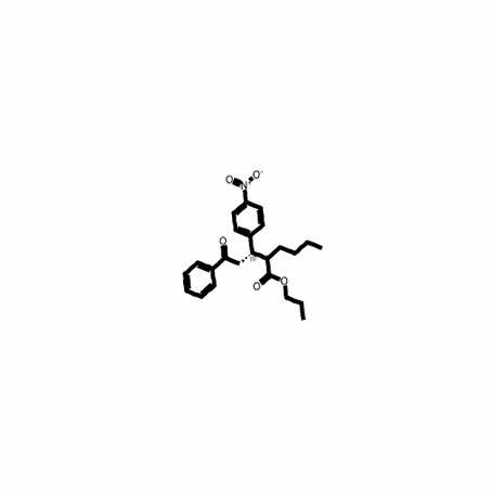 CCCCC(C(=O)OCCC)[C@H](CC(=O)c1ccccc1)c1ccc([N+](=O)[O-])cc1